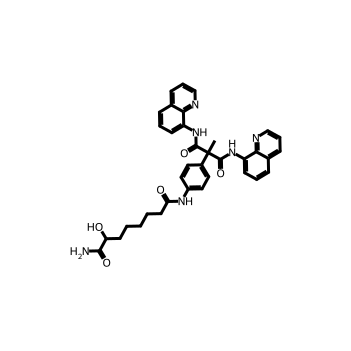 CC(C(=O)Nc1cccc2cccnc12)(C(=O)Nc1cccc2cccnc12)c1ccc(NC(=O)CCCCCC(O)C(N)=O)cc1